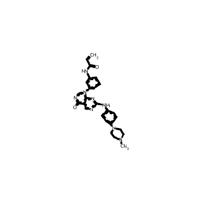 C=CC(=O)Nc1cccc(-n2cnc(=O)c3cnc(Nc4ccc(N5CCN(C)CC5)cc4)nc32)c1